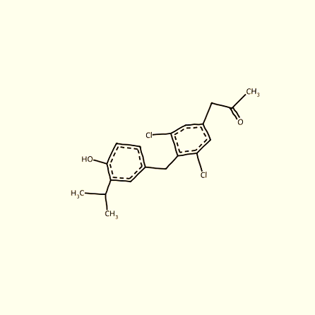 CC(=O)Cc1cc(Cl)c(Cc2ccc(O)c(C(C)C)c2)c(Cl)c1